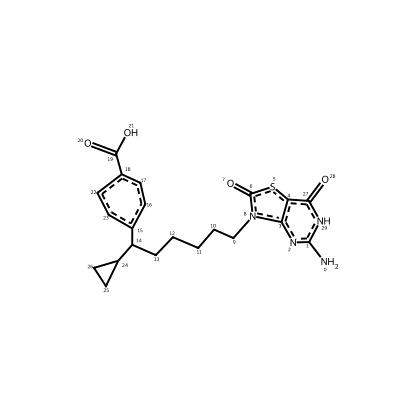 Nc1nc2c(sc(=O)n2CCCCCC(c2ccc(C(=O)O)cc2)C2CC2)c(=O)[nH]1